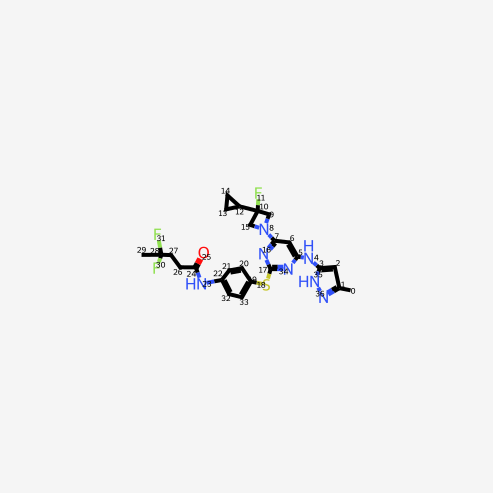 Cc1cc(Nc2cc(N3CC(F)(C4CC4)C3)nc(Sc3ccc(NC(=O)CCC(C)(F)F)cc3)n2)[nH]n1